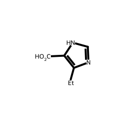 CCc1nc[nH]c1C(=O)O